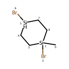 C[Si]1(Br)CC[SiH](Br)CC1